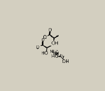 CC(O)C(=O)[O-].CC(O)C(=O)[O-].[NH4+].[NH4+].[OH][Zr][OH]